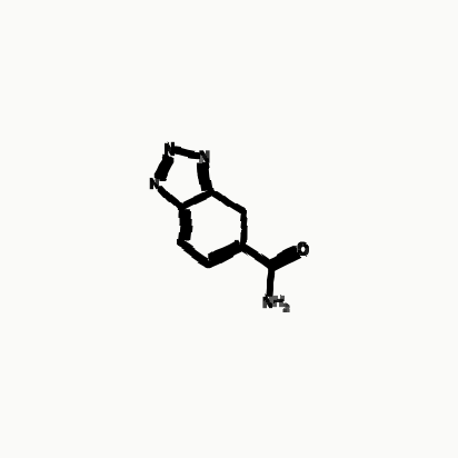 NC(=O)C1=CC=C2N=NN=C2C1